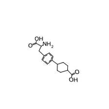 NC(Cc1ccc(C2CCC(C(=O)O)CC2)cc1)C(=O)O